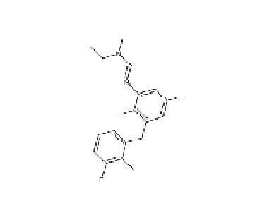 CCN(C)C=Nc1cc(C)cc(Cc2cccc(F)c2C)c1C